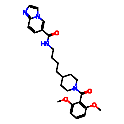 COc1cccc(OC)c1C(=O)N1CCC(CCCCNC(=O)c2ccc3nccn3c2)CC1